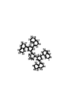 c1ccc2c(-c3cc(-c4cc(-c5cc(-c6cccc7ccccc67)cc(-c6cccc7ccccc67)c5)ncn4)cc(-c4cccc5ccccc45)c3)cccc2c1